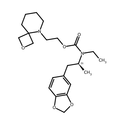 CCN(C(=O)OCCN1CCCCC12COC2)[C@@H](C)Cc1ccc2c(c1)OCO2